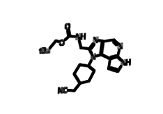 CC(C)(C)COC(=O)NCc1nc2cnc3[nH]ccc3c2n1C1CCC(CC#N)CC1